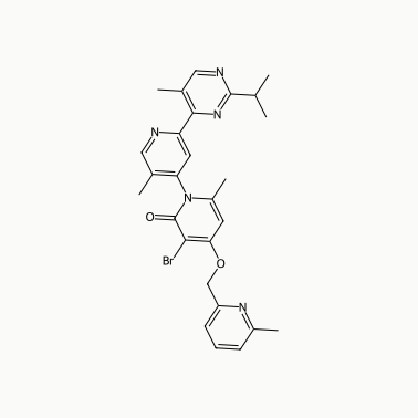 Cc1cccc(COc2cc(C)n(-c3cc(-c4nc(C(C)C)ncc4C)ncc3C)c(=O)c2Br)n1